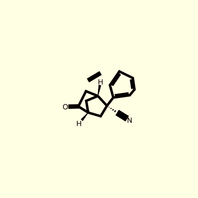 C=C.N#C[C@]1(c2ccccc2)C[C@H]2C[C@@H]1CC2=O